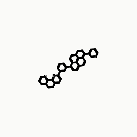 c1cncc(-c2ccc3ccc4c(-c5cccc(-c6ccc7ccc8cccnc8c7n6)c5)ccc5ccc2c3c54)c1